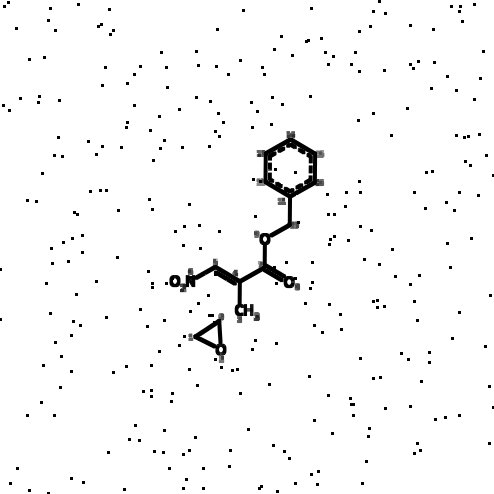 C1CO1.CC(=C[N+](=O)[O-])C(=O)OCc1ccccc1